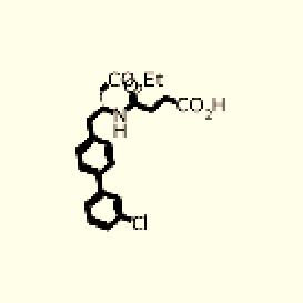 CCOC(=O)C[C@@H](Cc1ccc(-c2cccc(Cl)c2)cc1)NC(=O)CCC(=O)O